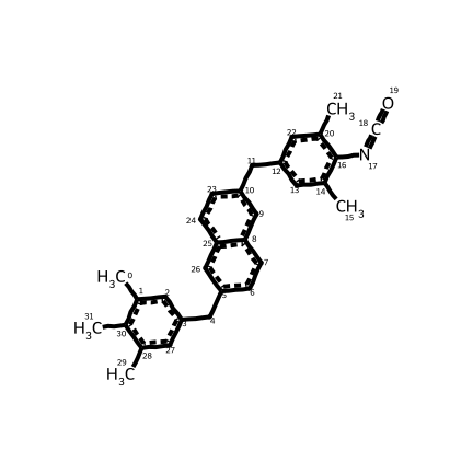 Cc1cc(Cc2ccc3cc(Cc4cc(C)c(N=C=O)c(C)c4)ccc3c2)cc(C)c1C